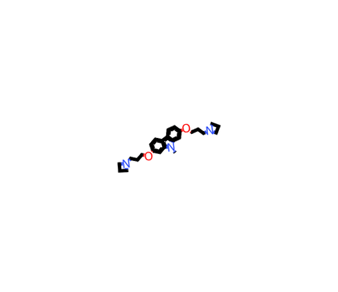 Cn1c2cc(OCCCN3CCC3)ccc2c2ccc(OCCCN3CCC3)cc21